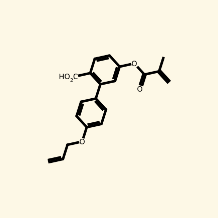 C=CCOc1ccc(-c2cc(OC(=O)C(=C)C)ccc2C(=O)O)cc1